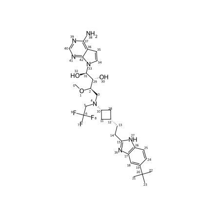 CO[C@H](CN(CC(F)(F)F)[C@H]1C[C@@H](CCc2nc3cc(C(C)(C)C)ccc3[nH]2)C1)[C@@H](O)[C@@H](O)n1ccc2c(N)ncnc21